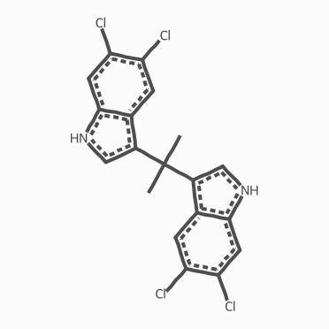 CC(C)(c1c[nH]c2cc(Cl)c(Cl)cc12)c1c[nH]c2cc(Cl)c(Cl)cc12